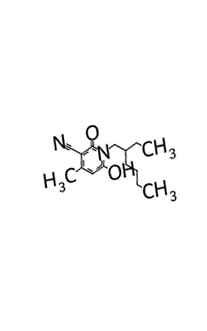 CCCCC(CC)Cn1c(O)cc(C)c(C#N)c1=O